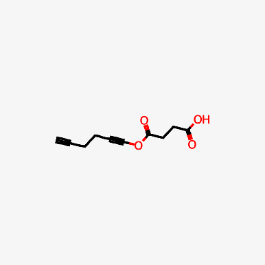 C#CCCC#COC(=O)CCC(=O)O